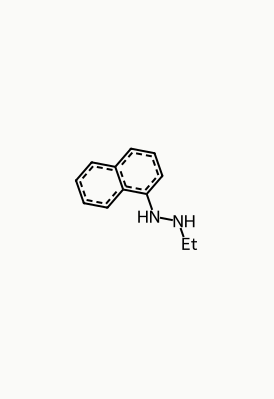 CCNNc1cccc2ccccc12